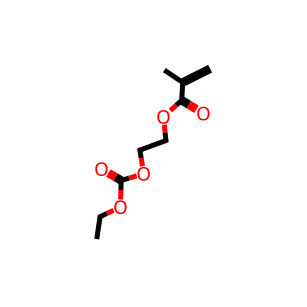 C=C(C)C(=O)OCCOC(=O)OCC